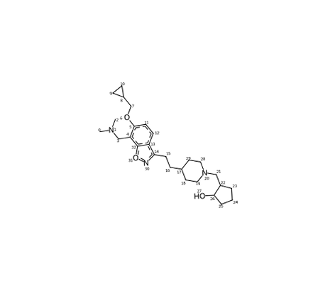 CN(C)Cc1c(OCC2CC2)ccc2c(CCC3CCN(CC4CCCC4O)CC3)noc12